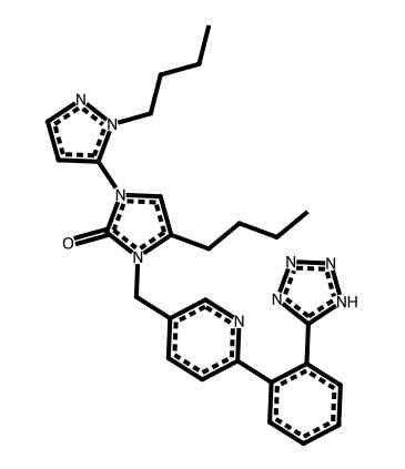 CCCCc1cn(-c2ccnn2CCCC)c(=O)n1Cc1ccc(-c2ccccc2-c2nnn[nH]2)nc1